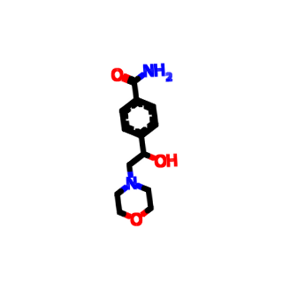 NC(=O)c1ccc(C(O)CN2CCOCC2)cc1